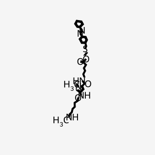 CNCCCCCCONc1cc(C(=O)NCCCCCC(=O)OCCSCc2ccc(N=Nc3ccccc3)cc2)n(C)c1